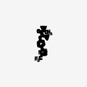 CC1(C(=O)N(Cc2ccc(-c3noc(C(F)(F)F)n3)cc2)C2CC2)CC1